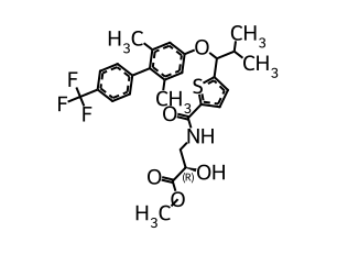 COC(=O)[C@H](O)CNC(=O)c1ccc(C(Oc2cc(C)c(-c3ccc(C(F)(F)F)cc3)c(C)c2)C(C)C)s1